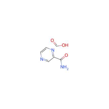 NC(=O)c1cnccn1.O=CO